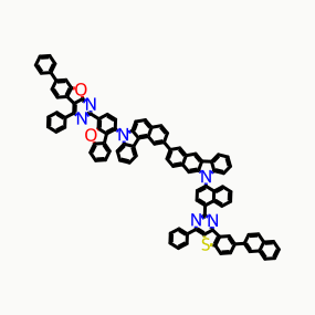 c1ccc(-c2ccc3c(c2)oc2nc(-c4ccc(-n5c6ccccc6c6c7cc(-c8ccc9cc%10c(cc9c8)c8ccccc8n%10-c8ccc(-c9nc(-c%10ccccc%10)c%10sc%11ccc(-c%12ccc%13ccccc%13c%12)cc%11c%10n9)c9ccccc89)ccc7ccc65)c5c4oc4ccccc45)nc(-c4ccccc4)c23)cc1